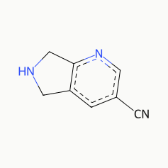 N#Cc1cnc2c(c1)CNC2